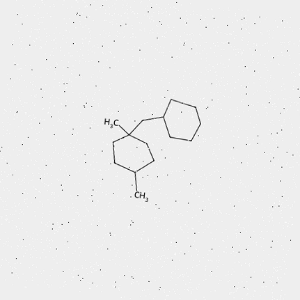 CC1CCC(C)(CC2CCCCC2)CC1